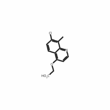 Cc1c(Cl)ccc2c(OCC(=O)O)ccnc12